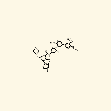 COc1ccc(-c2cnc(N)c(-c3ccc(NC(=O)c4cn(CC5CCOCC5)cc(-c5ccc(Br)cc5F)c4=O)cc3F)c2)cc1OC